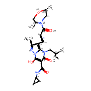 Cc1nn2c(O)c(C(=O)NC3CC3)c(=O)n(CC(C)C)c2c1/C=C/C(=O)N1C[C@H](C)OC[C@@H]1C